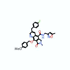 COc1ccc(COc2c3c(c(C(=O)NCc4cc(C)on4)c4cc(Cc5ccc(F)cc5)cnc24)CN(C)C3=O)cc1